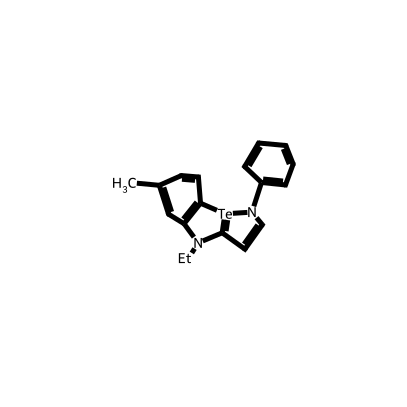 CCN1C2=[Te](c3ccc(C)cc31)N(c1ccccc1)C=C2